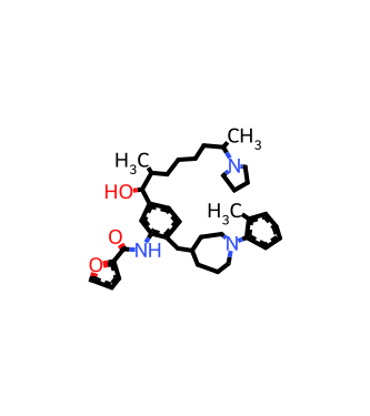 Cc1ccccc1N1CCCC(Cc2ccc(C(O)C(C)CCCCC(C)N3CCCC3)cc2NC(=O)c2ccco2)CC1